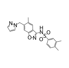 Cc1ccc(S(=O)(=O)Nc2noc3cc(Cn4cccn4)c(C)cc23)cc1C